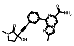 Cc1cn2cc(C(N)=O)nc(-c3cccc(C#CC4(O)CCN(C)C4=O)c3)c2n1